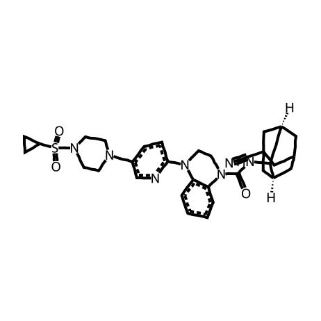 N#CC12CC3C[C@H](C1)C(NC(=O)N1CCN(c4ccc(N5CCN(S(=O)(=O)C6CC6)CC5)cn4)c4ccccc41)[C@@H](C3)C2